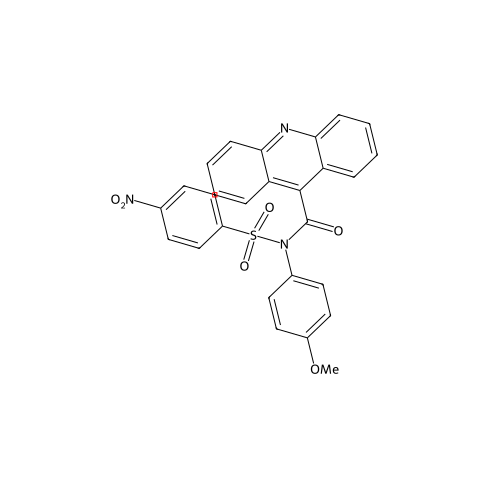 COc1ccc(N(C(=O)c2c3ccccc3nc3ccccc23)S(=O)(=O)c2ccc([N+](=O)[O-])cc2)cc1